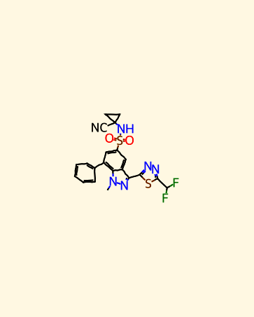 Cn1nc(-c2nnc(C(F)F)s2)c2cc(S(=O)(=O)NC3(C#N)CC3)cc(-c3ccccc3)c21